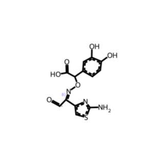 Nc1nc(/C([C]=O)=N\OC(C(=O)O)c2ccc(O)c(O)c2)cs1